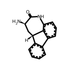 N[C@@H]1C[C@H]2c3ccccc3-c3cccc(c32)NC1=O